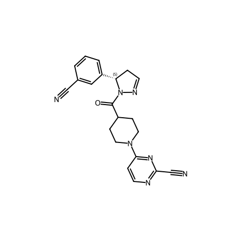 N#Cc1cccc([C@@H]2CC=NN2C(=O)C2CCN(c3ccnc(C#N)n3)CC2)c1